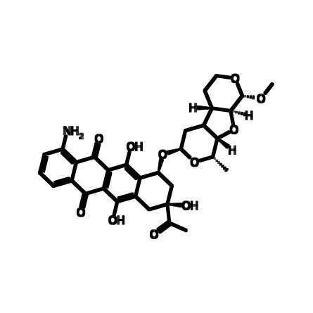 CO[C@H]1OCC[C@H]2C3C[C@H](O[C@H]4C[C@](O)(C(C)=O)Cc5c(O)c6c(c(O)c54)C(=O)c4c(N)cccc4C6=O)O[C@@H](C)[C@H]3O[C@H]12